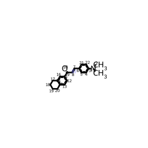 CN(C)c1ccc(/C=C/C(=O)c2ccc3c(c2)CCCC3)cc1